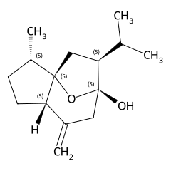 C=C1C[C@]2(O)O[C@@]3(C[C@H]2C(C)C)[C@@H](C)CC[C@@H]13